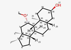 CO[C@H]1C[C@]2(C)[C@@H](C)CC[C@H]2[C@@H]2CC[C@H]3C[C@H](O)CC[C@]3(C)[C@H]21